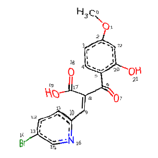 COc1ccc(C(=O)C(=Cc2ccc(Br)cn2)C(=O)O)c(O)c1